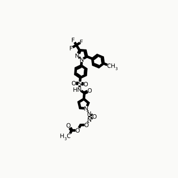 CC(=O)OCOn1on1N1CCC(C(=O)NS(=O)(=O)c2ccc(-n3nc(C(F)(F)F)cc3-c3ccc(C)cc3)cc2)C1